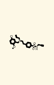 C#CCNS(=O)(=O)c1ccc(CCN(CC=C)Cc2cc(Cl)ccc2OC)cc1